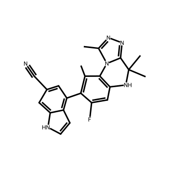 Cc1c(-c2cc(C#N)cc3[nH]ccc23)c(F)cc2c1-n1c(C)nnc1C(C)(C)N2